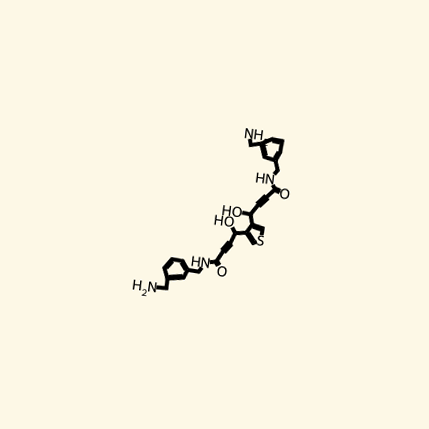 NCc1cccc(CNC(=O)C#CC(O)c2cscc2C(O)C#CC(=O)NCc2cccc(CN)c2)c1